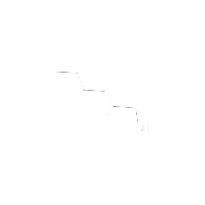 CCC(S)CC(O)CS